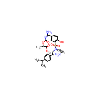 CN.COC(=O)C(C)OC(=O)/N=C(/N)c1ccc(O)c(S(=O)(=O)N(C)CCc2ccc(C(C)C)cc2)c1